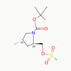 C[C@H]1C[C@H](COS(C)(=O)=O)N(C(=O)OC(C)(C)C)C1